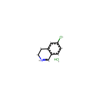 Cl.Clc1ccc2c(c1)CCN=C2